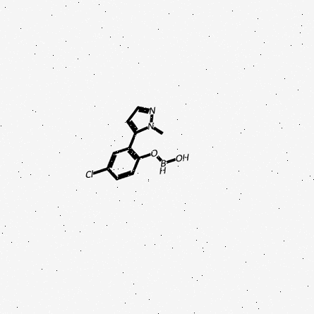 Cn1nccc1-c1cc(Cl)ccc1OBO